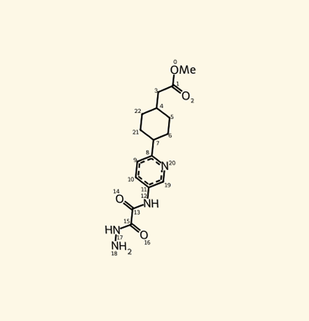 COC(=O)CC1CCC(c2ccc(NC(=O)C(=O)NN)cn2)CC1